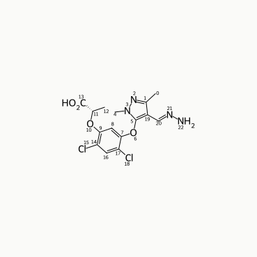 Cc1nn(C)c(Oc2cc(O[C@@H](C)C(=O)O)c(Cl)cc2Cl)c1/C=N/N